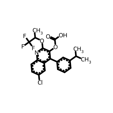 CC(C)c1cccc(-c2c(OC(=O)O)c(OC(C)C(F)(F)F)nc3ccc(Cl)cc23)c1